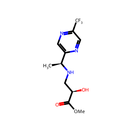 COC(=O)[C@H](O)CN[C@@H](C)c1cnc(C(F)(F)F)cn1